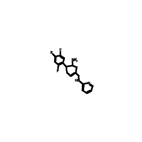 NC1CC(CNc2ccccn2)=CCC1c1cc(F)c(F)cc1F